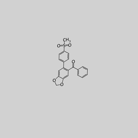 CS(=O)(=O)c1ccc(-c2cc3c(cc2C(=O)c2ccccc2)OCO3)cc1